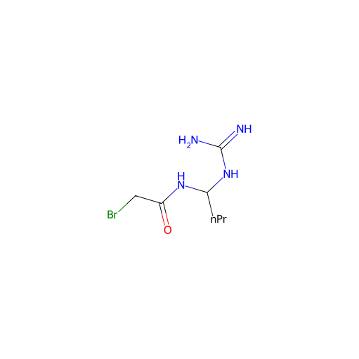 CCCC(NC(=N)N)NC(=O)CBr